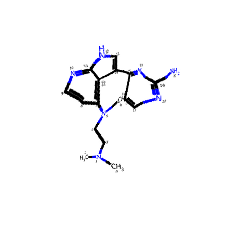 CN(C)CCN(C)c1ccnc2[nH]cc(-c3ccnc(N)n3)c12